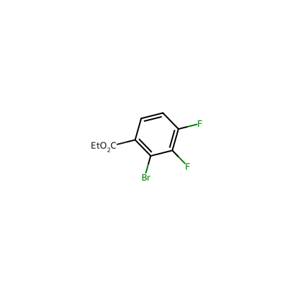 CCOC(=O)c1ccc(F)c(F)c1Br